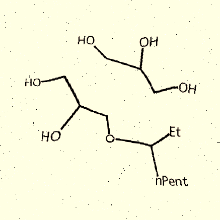 CCCCCC(CC)OCC(O)CO.OCC(O)CO